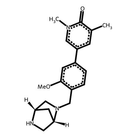 COc1cc(-c2cc(C)c(=O)n(C)c2)ccc1CN1C[C@@H]2C[C@H]1CN2